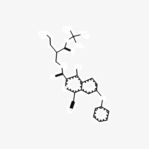 CCCC(CNC(=O)c1nc(C#N)c2cc(Oc3ccccc3)ccc2c1O)C(=O)OC(C)(C)C